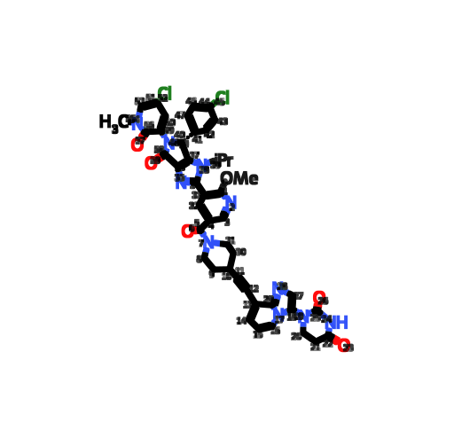 COc1ncc(C(=O)N2CCC(C#Cc3cccn4c(N5CCC(=O)NC5=O)cnc34)CC2)cc1-c1nc2c(n1C(C)C)[C@@H](c1ccc(Cl)cc1)N(c1cc(Cl)cn(C)c1=O)C2=O